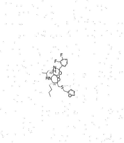 CCCC[C@H](NC(=O)[C@H](CC(C)C)NC(=O)c1cccc(F)c1F)C(=O)CSCc1ccco1